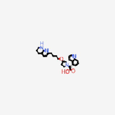 O=C(O)[C@@H](c1cccc2ncccc12)N1CC[C@@H](OCCCCc2ccc3c(n2)NCCC3)C1